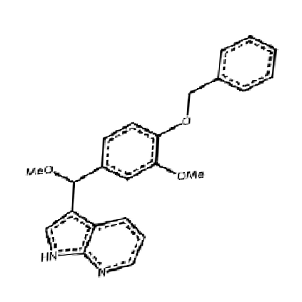 COc1cc(C(OC)c2c[nH]c3ncccc23)ccc1OCc1ccccc1